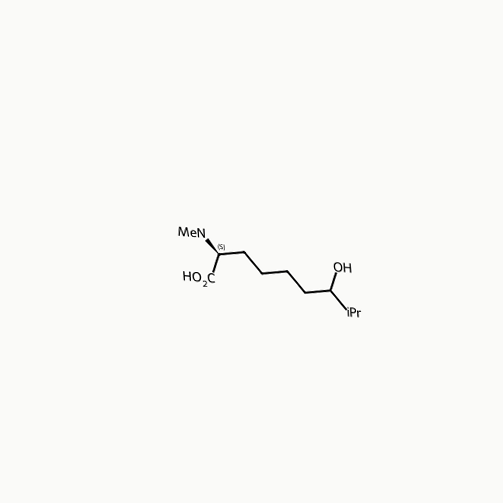 CN[C@@H](CCCCC(O)C(C)C)C(=O)O